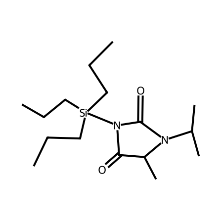 CCC[Si](CCC)(CCC)N1C(=O)C(C)N(C(C)C)C1=O